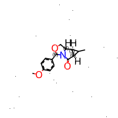 COc1ccc([C@H]2OC[C@@H]3[C@H]4C(C)[C@H]4C(=O)N23)cc1